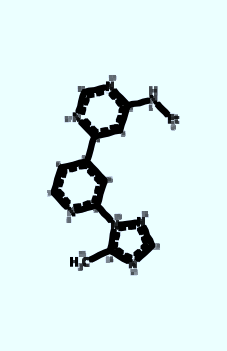 CCNc1cc(-c2ccnc(-n3ncnc3C)c2)ncn1